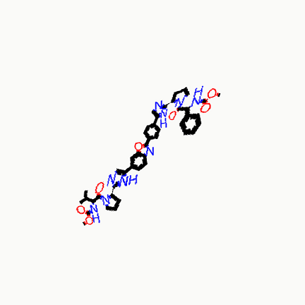 COC(=O)N[C@H](C(=O)N1CCC[C@H]1c1ncc(-c2ccc3nc(-c4ccc(-c5cnc([C@@H]6CCCN6C(=O)[C@H](NC(=O)OC)c6ccccc6)[nH]5)cc4)oc3c2)[nH]1)C(C)C